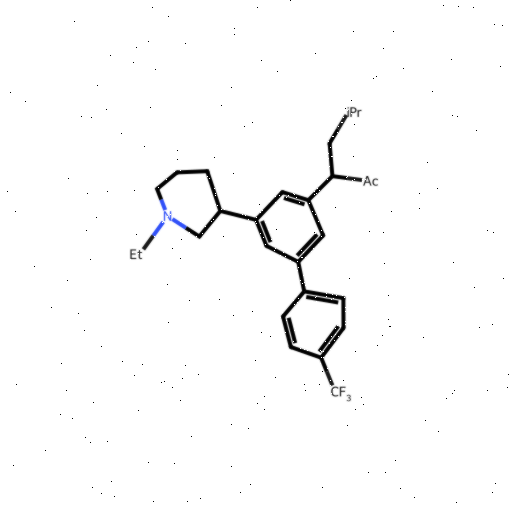 CCN1CCCC(c2cc(-c3ccc(C(F)(F)F)cc3)cc(C(CC(C)C)C(C)=O)c2)C1